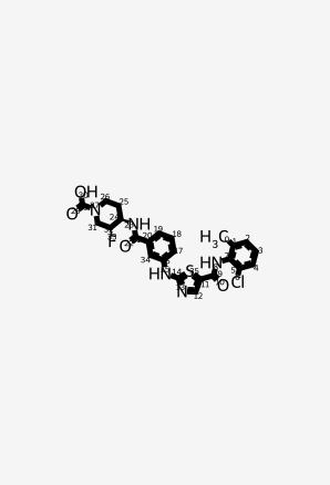 Cc1cccc(Cl)c1NC(=O)c1cnc(Nc2cccc(C(=O)N[C@@H]3CCN(C(=O)O)C[C@H]3F)c2)s1